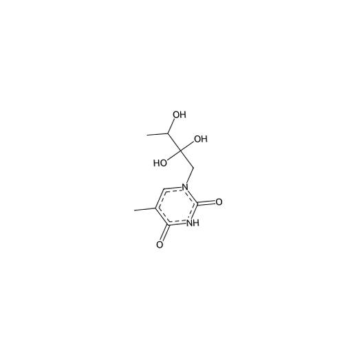 Cc1cn(CC(O)(O)C(C)O)c(=O)[nH]c1=O